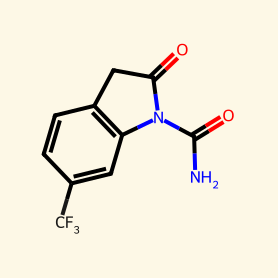 NC(=O)N1C(=O)Cc2ccc(C(F)(F)F)cc21